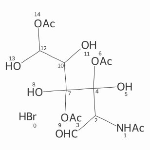 Br.CC(=O)NC(C=O)C(O)(OC(C)=O)C(O)(OC(C)=O)C(O)C(O)OC(C)=O